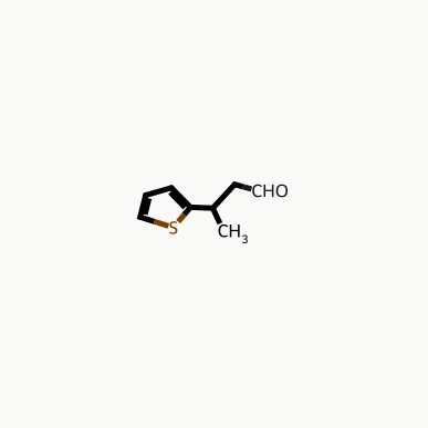 CC(CC=O)c1cccs1